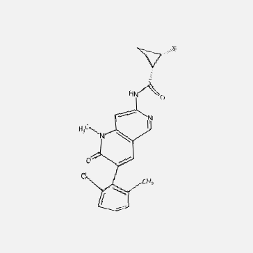 Cc1cccc(Cl)c1-c1cc2cnc(NC(=O)[C@@H]3C[C@@H]3F)cc2n(C)c1=O